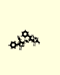 Cc1nn2nc(-c3ccccc3)c(/N=N/c3n[nH]c(-c4ccccc4)c3C#N)c2[nH]1